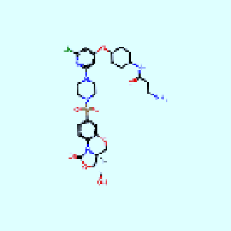 NCCC(=O)NC1CCC(Oc2cc(Cl)nc(N3CCN(S(=O)(=O)c4ccc5c(c4)OC[C@H]4[C@H](CO)OC(=O)N54)CC3)c2)CC1